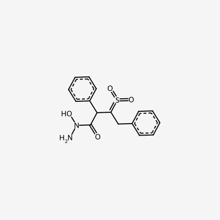 NN(O)C(=O)C(C(Cc1ccccc1)=S(=O)=O)c1ccccc1